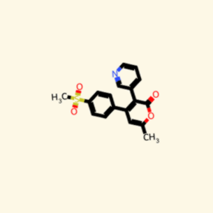 Cc1cc(-c2ccc(S(C)(=O)=O)cc2)c(-c2cccnc2)c(=O)o1